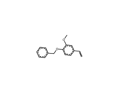 C=Cc1ccc(OCc2ccccc2)c(OC)c1